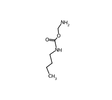 CCCCNC(=O)OCN